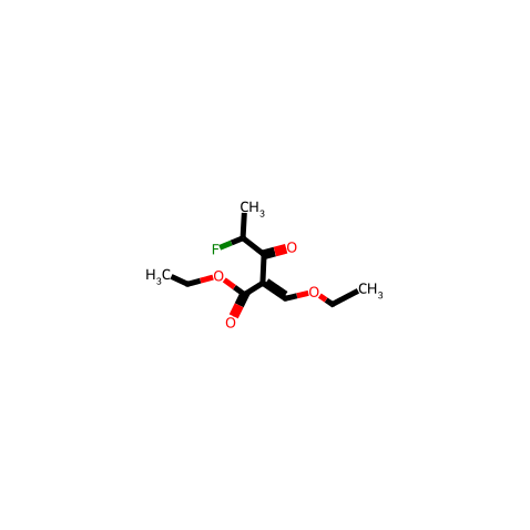 CCO/C=C(/C(=O)OCC)C(=O)C(C)F